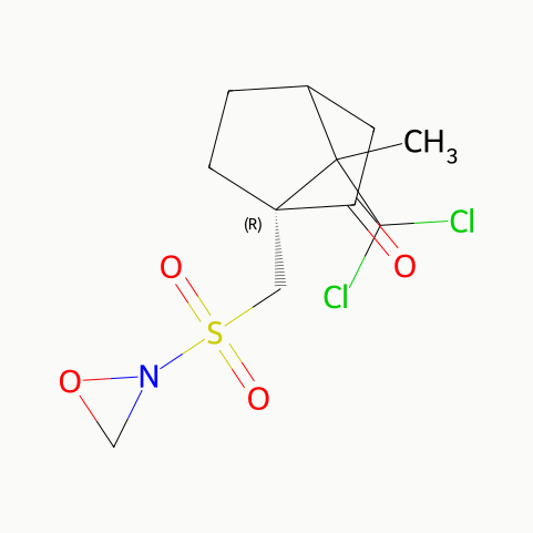 CC1(C(Cl)Cl)C2CC[C@]1(CS(=O)(=O)N1CO1)C(=O)C2